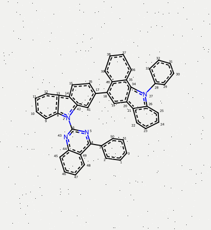 c1ccc(-c2nc(-n3c4ccccc4c4ccc(-c5cc6c7ccccc7n(-c7ccccc7)c6c6ccccc56)cc43)nc3ccccc23)cc1